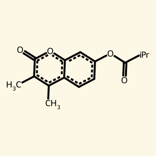 Cc1c(C)c2ccc(OC(=O)C(C)C)cc2oc1=O